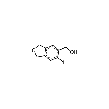 OCc1cc2c(cc1I)COC2